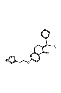 CC(=C1CCc2cc(OCCc3c[nH]cn3)ccc2C1=O)c1ccccc1